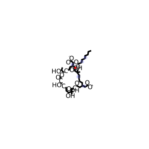 CCC/C=C/C=C/C(=O)OC1/C(=C/C(=O)OC)CC2CC(C(C)O)OC(=O)CC(O)CC3CC(O)C(C)(C)C(O)(CC4C/C(=C/C(=O)OC)CC(/C=C/C(C)(C)C1(O)O2)O4)O3